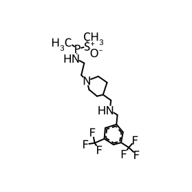 CP(NCCN1CCC(CNCc2cc(C(F)(F)F)cc(C(F)(F)F)c2)CC1)[S+](C)[O-]